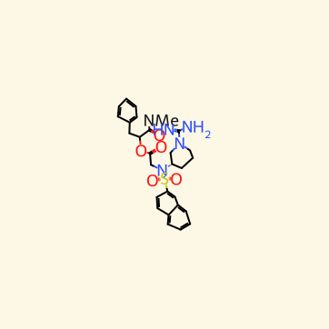 CNC(=O)C(Cc1ccccc1)OC(=O)CN([C@H]1CCCN(C(=N)N)C1)S(=O)(=O)c1ccc2ccccc2c1